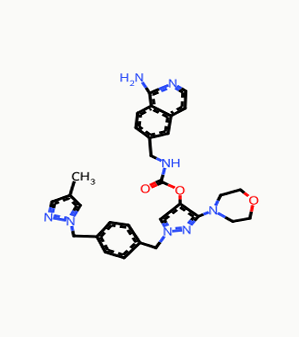 Cc1cnn(Cc2ccc(Cn3cc(OC(=O)NCc4ccc5c(N)nccc5c4)c(N4CCOCC4)n3)cc2)c1